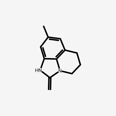 C=C1Nc2cc(C)cc3c2N1CCC3